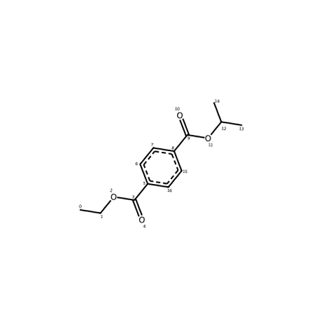 CCOC(=O)c1ccc(C(=O)OC(C)C)cc1